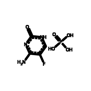 Nc1nc(=O)[nH]cc1F.O=P(O)(O)O